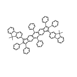 CC1(C)c2ccccc2-c2ccc(-n3c(-c4ccccc4)c(-c4ccccc4)c4cc5c(-c6ccccc6)c6cc7c(cc6c(-c6ccccc6)c5cc43)c(-c3ccccc3)c(-c3ccccc3)n7-c3ccc4c(c3)C(C)(C)c3ccccc3-4)cc21